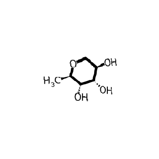 C[C@H]1OC[C@@H](O)[C@H](O)[C@@H]1O